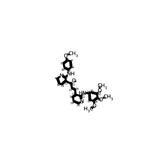 COc1ccc(Nc2ncccc2C(=O)/C=C/c2cccnc2Nc2cc(OC)c(OC)c(OC)c2)cc1